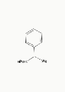 CCCCC[CH]([Mg])c1ccccc1